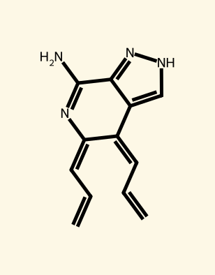 C=C/C=c1\c(=C/C=C)nc(N)c2n[nH]cc12